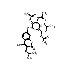 CC(=O)OC[C@H]1O[C@H](Oc2ccc3c(O)c(OC(C)C)c(=O)oc3c2)[C@@H](OC(C)=O)[C@@H](OC(C)=O)[C@@H]1OC(C)=O